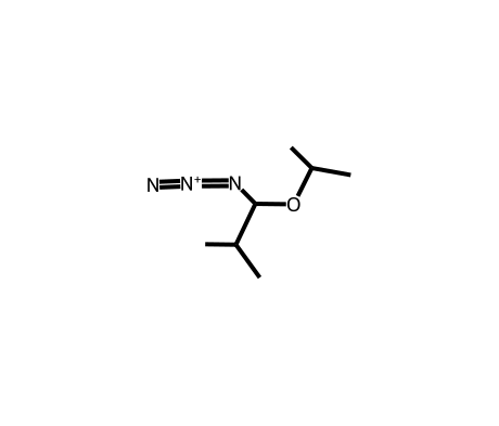 CC(C)OC(N=[N+]=[N-])C(C)C